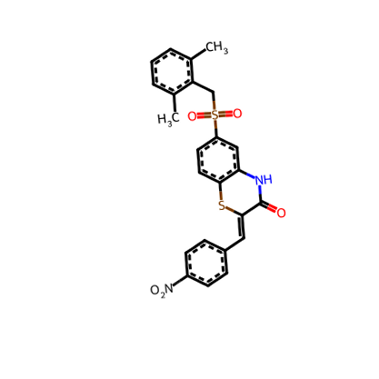 Cc1cccc(C)c1CS(=O)(=O)c1ccc2c(c1)NC(=O)C(=Cc1ccc([N+](=O)[O-])cc1)S2